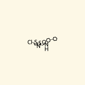 Clc1cc2nc(/C=C3/Nc4cc(-c5ccccc5)ccc4O3)sc2s1